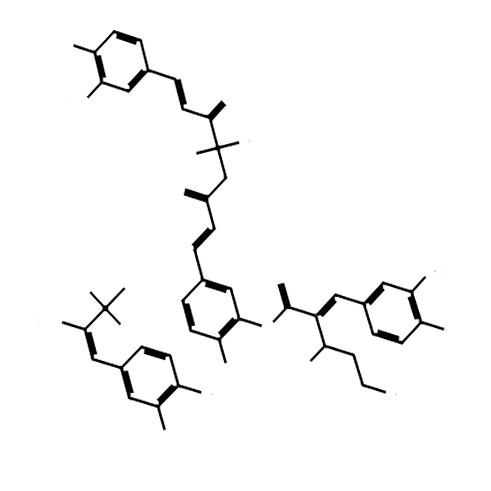 CC(O)(O)C(=Cc1ccc(O)c(O)c1)C(=O)O.O=C(C=Cc1ccc(O)c(OC(=O)C(=Cc2ccc(O)c(O)c2)C(O)CCO)c1)CC(O)(O)C(=O)C=Cc1ccc(O)c(O)c1